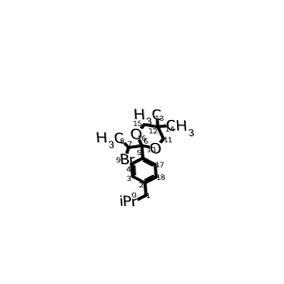 CC(C)Cc1ccc(C2(C(C)Br)OCC(C)(C)CO2)cc1